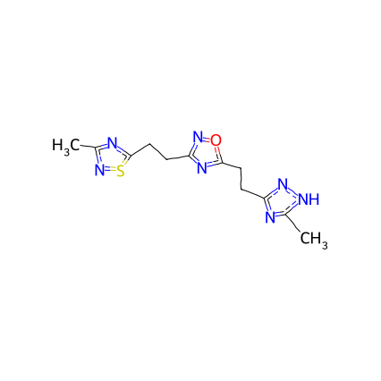 Cc1nsc(CCc2noc(CCc3n[nH]c(C)n3)n2)n1